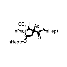 CCCCCCCOC(=O)CC(C(C)=O)(C(=O)OCCCCCCC)C(CCCCC)C(=O)O